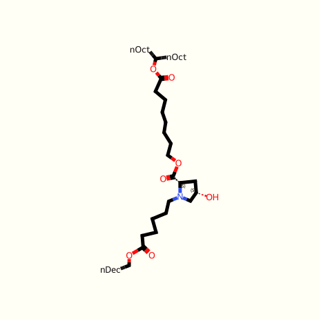 CCCCCCCCCCCOC(=O)CCCCCN1C[C@@H](O)C[C@H]1C(=O)OCCCCCCCC(=O)OC(CCCCCCCC)CCCCCCCC